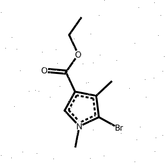 CCOC(=O)c1cn(C)c(Br)c1C